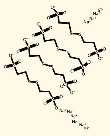 O=S(=O)([O-])CCSSCCS(=O)(=O)[O-].O=S(=O)([O-])CCSSCCS(=O)(=O)[O-].O=S(=O)([O-])CCSSCCS(=O)(=O)[O-].O=S(=O)([O-])CCSSCCS(=O)(=O)[O-].[Na+].[Na+].[Na+].[Na+].[Na+].[Na+].[Na+].[Na+].[S-2].[S-2]